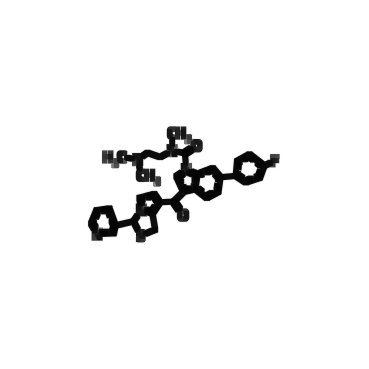 CN(C)CCN(C)C(=O)n1cc(C(=O)c2ccn3c2CSC3c2cccnc2)c2ccc(-c3ccc(F)cc3)cc21